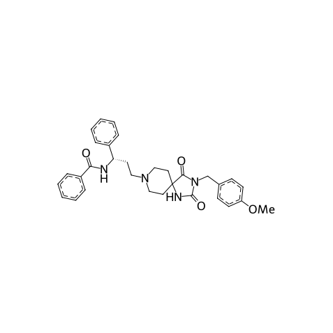 COc1ccc(CN2C(=O)NC3(CCN(CC[C@H](NC(=O)c4ccccc4)c4ccccc4)CC3)C2=O)cc1